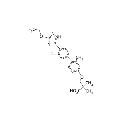 Cc1cc(OCC(C)(C)C(=O)O)ncc1-c1ccc(-c2nc(OCC(F)(F)F)n[nH]2)c(F)c1